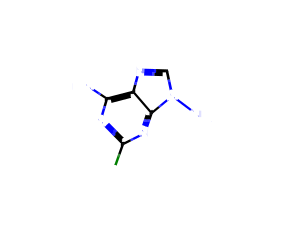 Nc1nc(F)nc2c1ncn2N